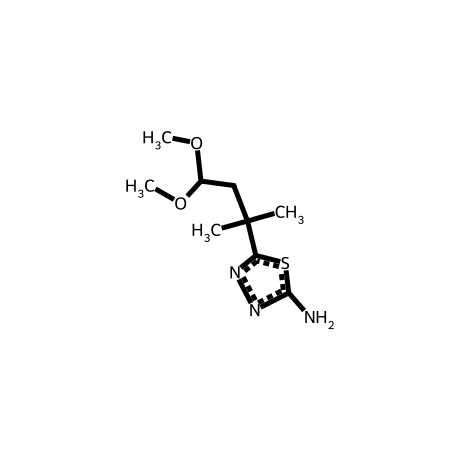 COC(CC(C)(C)c1nnc(N)s1)OC